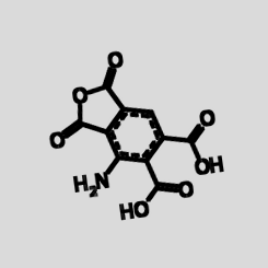 Nc1c(C(=O)O)c(C(=O)O)cc2c1C(=O)OC2=O